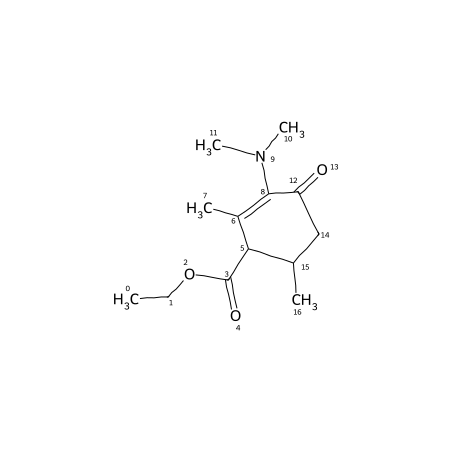 CCOC(=O)C1C(C)=C(N(C)C)C(=O)CC1C